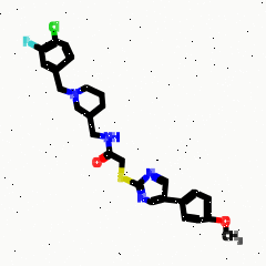 COc1ccc(-c2cnc(SCC(=O)NCC3CCCN(Cc4ccc(Cl)c(F)c4)C3)nc2)cc1